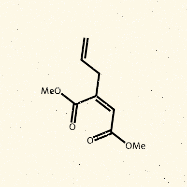 C=CC/C(=C/C(=O)OC)C(=O)OC